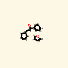 O=C(C=Cc1ccccc1)c1ccccc1.c1ccoc1